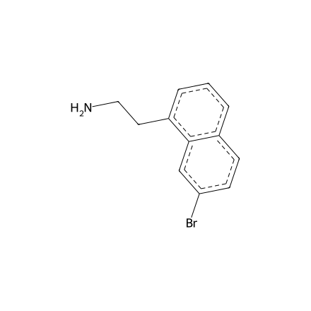 NCCc1cccc2ccc(Br)cc12